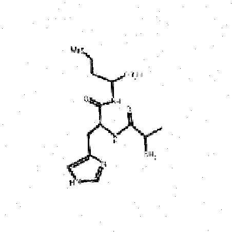 CSCCC(NC(=O)C(Cc1c[nH]cn1)NC(=O)C(C)N)C(=O)O